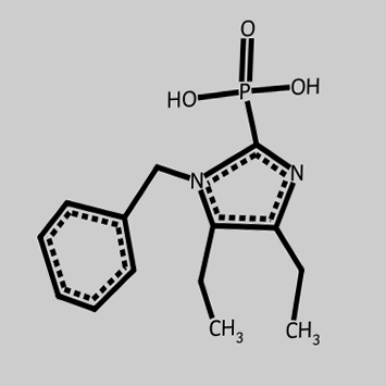 CCc1nc(P(=O)(O)O)n(Cc2ccccc2)c1CC